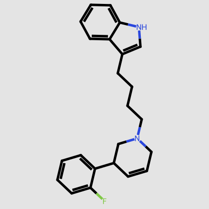 Fc1ccccc1C1C=CCN(CCCCc2c[nH]c3ccccc23)C1